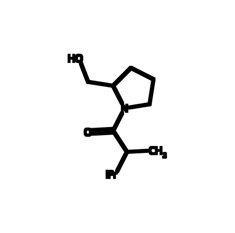 CC(C)C(C)C(=O)N1CCCC1CO